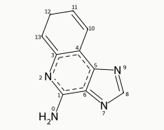 Nc1nc2c(c3c1=NC=N3)C=CCC=2